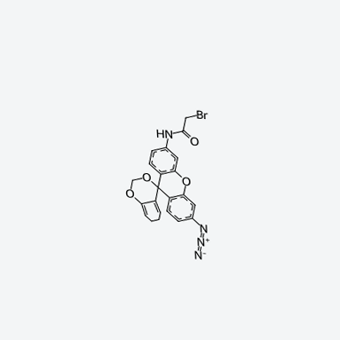 [N-]=[N+]=Nc1ccc2c(c1)Oc1cc(NC(=O)CBr)ccc1C21OCOC2=CCCC=C21